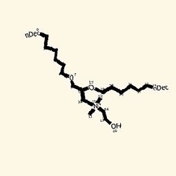 CCCCCCCCCCCCCCCCOCC(C[N+](C)(C)CCO)OCCCCCCCCCCCCCCCC